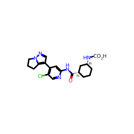 O=C(O)N[C@@H]1CCC[C@H](C(=O)Nc2cc(-c3cnn4c3CCC4)c(Cl)cn2)C1